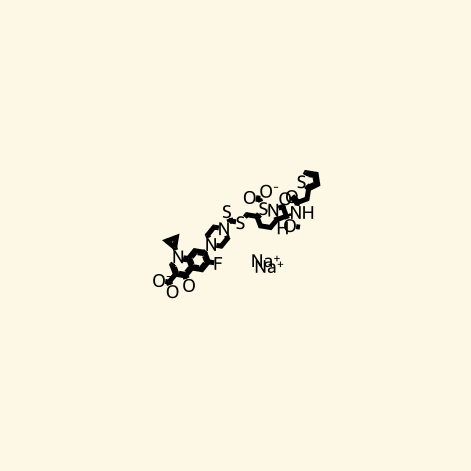 CO[C@@]1(NC(=O)Cc2cccs2)C(=O)N2[C@@H]1CCC(CSC(=S)N1CCN(c3cc4c(cc3F)c(=O)c(C(=O)[O-])cn4C3CC3)CC1)=S2C(=O)[O-].[Na+].[Na+]